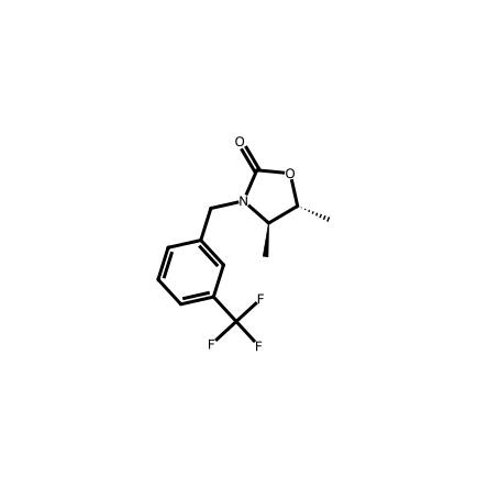 C[C@@H]1[C@@H](C)OC(=O)N1Cc1cccc(C(F)(F)F)c1